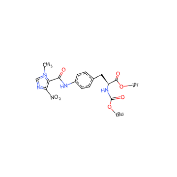 CC(C)OC(=O)[C@H](Cc1ccc(NC(=O)c2c([N+](=O)[O-])ncn2C)cc1)NC(=O)OC(C)(C)C